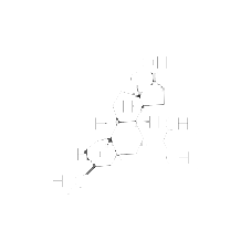 C=C1CC[C@@]2(C)[C@H](C1)C[C@@H](C(C)C)[C@@H]1[C@@H]2CC[C@]2(C)[C@@H](O)CC[C@@H]12